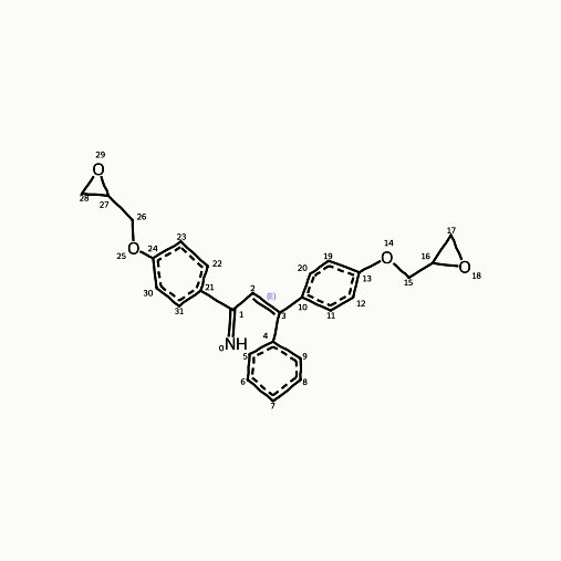 N=C(/C=C(\c1ccccc1)c1ccc(OCC2CO2)cc1)c1ccc(OCC2CO2)cc1